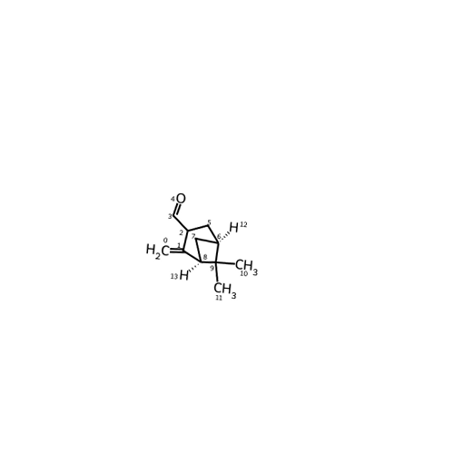 C=C1C(C=O)C[C@@H]2C[C@H]1C2(C)C